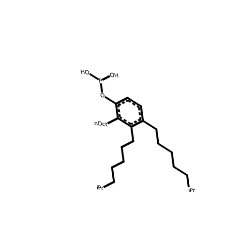 CCCCCCCCc1c(OP(O)O)ccc(CCCCCC(C)C)c1CCCCCC(C)C